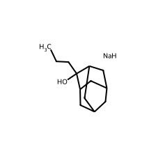 CCCC1(O)C2CC3CC(C2)CC1C3.[NaH]